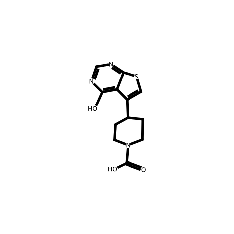 O=C(O)N1CCC(c2csc3ncnc(O)c23)CC1